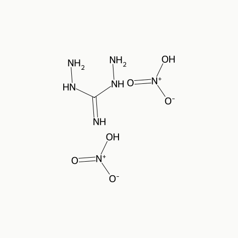 N=C(NN)NN.O=[N+]([O-])O.O=[N+]([O-])O